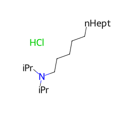 CCCCCCCCCCCCN(C(C)C)C(C)C.Cl